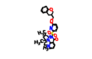 CC1CN(c2ncccc2C(=O)NS(=O)(=O)c2cccc(OCC3COc4ccccc4C3)n2)C(C)(C)C1